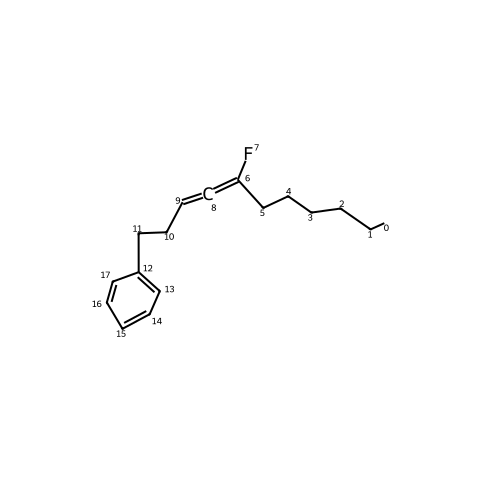 CCCCCCC(F)=C=CCCc1ccccc1